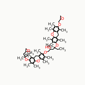 CCC(C)(CC(O)COc1c(C)c(C)c2c(c1C)Cc1c(C)c(OC(C)(CC)CC3CO3)c(C)c(C)c1O2)Oc1c(C)c(C)c2c(c1C)Cc1c(C)c(OCC3CO3)c(C)c(C)c1O2